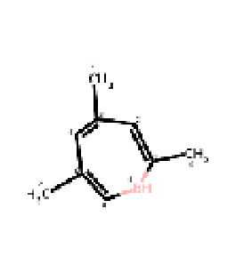 CC1=CC(C)=CC(C)=CB1